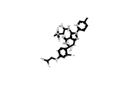 Cc1ccc(-n2nc3c(c2NC(O)CS(C)(=O)=O)C(=O)N[C@](C)(c2ccc(OCC(F)F)cc2F)C3)nc1